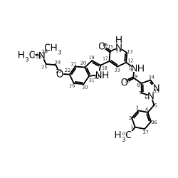 CC1C=CC(Cn2cc(C(=O)Nc3c[nH]c(=O)c(-c4cc5cc(OCCN(C)C)ccc5[nH]4)c3)cn2)=CC1